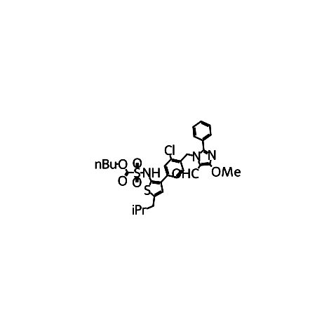 CCCCOC(=O)S(=O)(=O)Nc1sc(CC(C)C)cc1-c1ccc(Cn2c(-c3ccccc3)nc(OC)c2C=O)c(Cl)c1